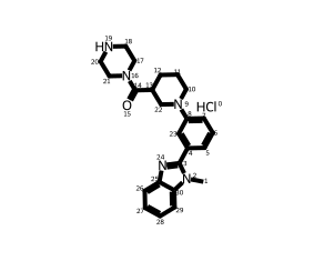 Cl.Cn1c(-c2cccc(N3CCCC(C(=O)N4CCNCC4)C3)c2)nc2ccccc21